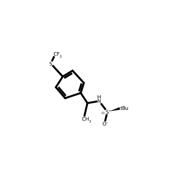 CC(N[S@+]([O-])C(C)(C)C)c1ccc(SC(F)(F)F)cc1